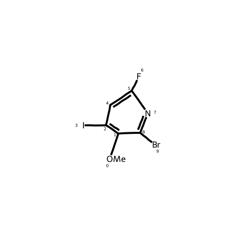 COc1c(I)cc(F)nc1Br